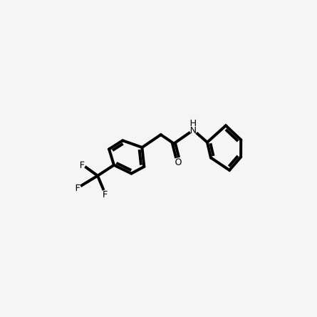 O=C(Cc1ccc(C(F)(F)F)cc1)Nc1ccccc1